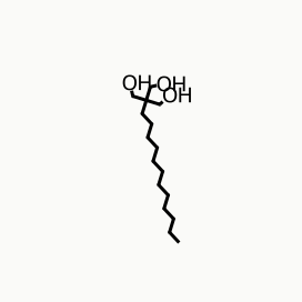 CCCCCCCCCCCCC(CO)(CO)CO